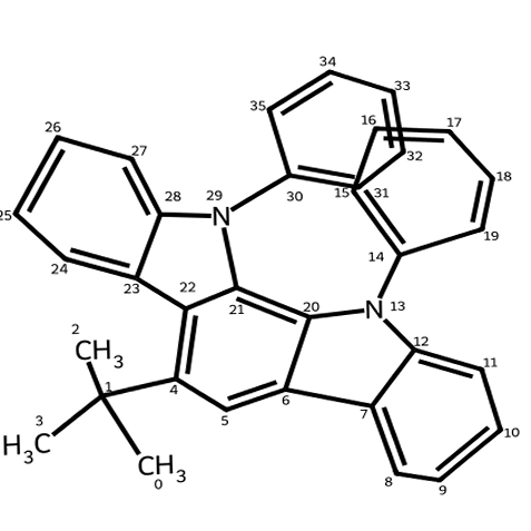 CC(C)(C)c1cc2c3ccccc3n(-c3ccccc3)c2c2c1c1ccccc1n2-c1ccccc1